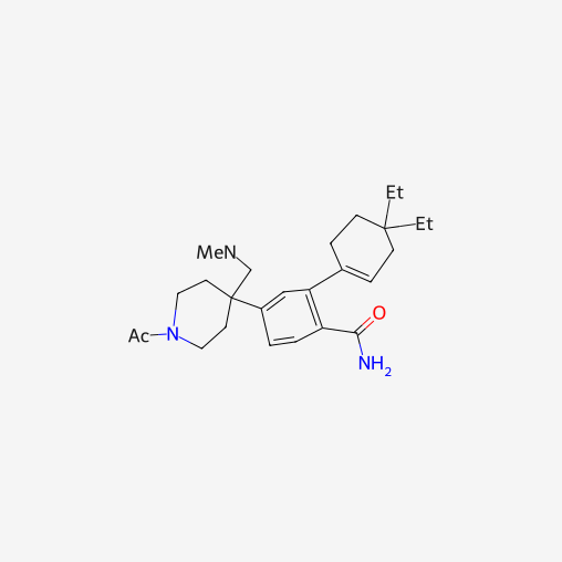 CCC1(CC)CC=C(c2cc(C3(CNC)CCN(C(C)=O)CC3)ccc2C(N)=O)CC1